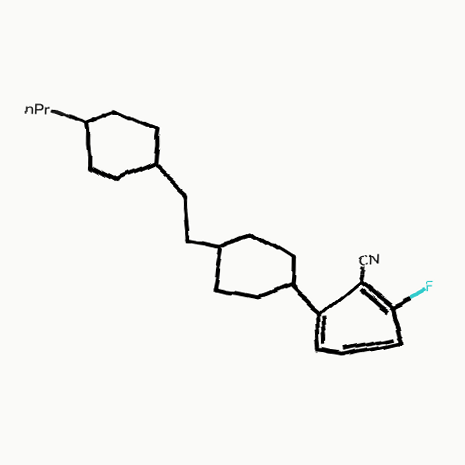 CCCC1CCC(CCC2CCC(c3cccc(F)c3C#N)CC2)CC1